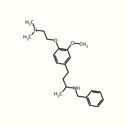 COc1cc(CCC(C)NCc2ccccc2)ccc1OCCN(C)C